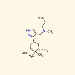 CNCCN(C)Cc1c[nH]nc1C1C[C@@H](C=O)C(C)(C)[C@@H](C)C1